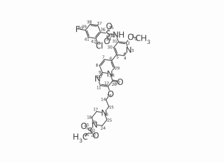 COc1ncc(-c2ccc3ncc(OCCN4CCN(S(C)(=O)=O)CC4)c(=O)n3c2)cc1NS(=O)(=O)c1ccc(F)cc1Cl